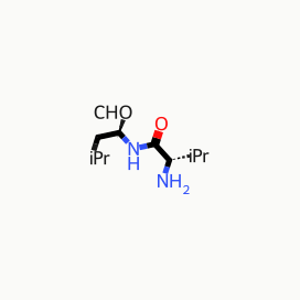 CC(C)C[C@@H](C=O)NC(=O)[C@@H](N)C(C)C